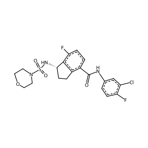 O=C(Nc1ccc(F)c(Cl)c1)c1ccc(F)c2c1CC[C@@H]2NS(=O)(=O)N1CCOCC1